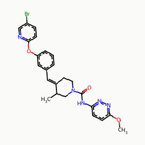 COc1ccc(NC(=O)N2CCC(=Cc3cccc(Oc4ccc(Br)cn4)c3)C(C)C2)nn1